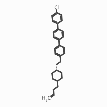 C=CCC[C@H]1CC[C@H](CCc2ccc(-c3ccc(-c4ccc(Cl)cc4)cc3)cc2)CC1